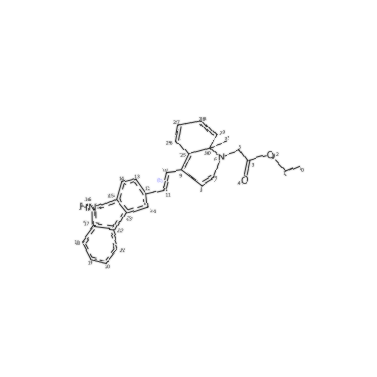 CCOC(=O)CN1C=CC(/C=C/c2ccc3[nH]c4ccccc4c3c2)=C2C=CC=CC21C